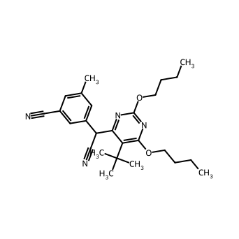 CCCCOc1nc(OCCCC)c(C(C)(C)C)c(C(C#N)c2cc(C)cc(C#N)c2)n1